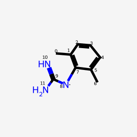 Cc1cccc(C)c1[N]C(=N)N